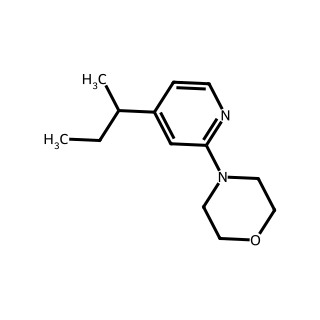 CCC(C)c1ccnc(N2CCOCC2)c1